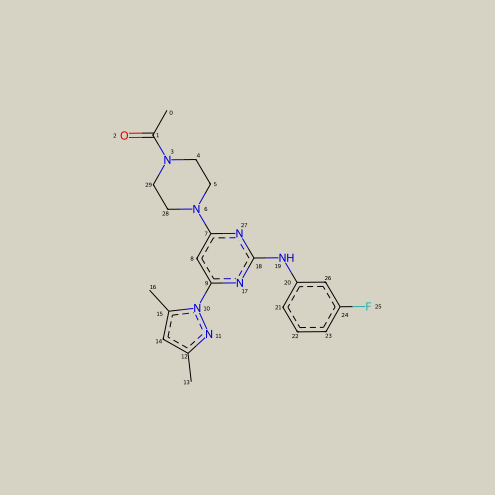 CC(=O)N1CCN(c2cc(-n3nc(C)cc3C)nc(Nc3cccc(F)c3)n2)CC1